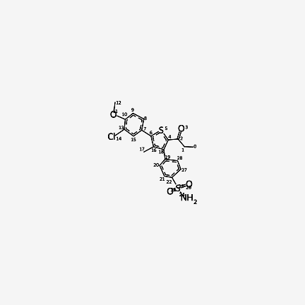 CCC(=O)c1sc(-c2ccc(OC)c(Cl)c2)c(C)c1-c1ccc(S(N)(=O)=O)cc1